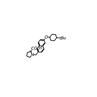 CC(C)(C)C1CCC(Oc2ccc3cc(CN4CCC[C@H]4C(=O)O)ccc3c2)CC1